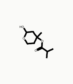 CC(C)C(=O)OC1(C)CCOC(O)C1